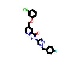 O=C(Nc1cnn(Cc2ccc(F)cc2)c1)c1cc(COc2cccc(Cl)c2)ccn1